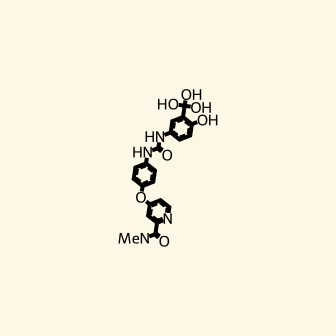 CNC(=O)c1cc(Oc2ccc(NC(=O)Nc3ccc(O)c(C(O)(O)O)c3)cc2)ccn1